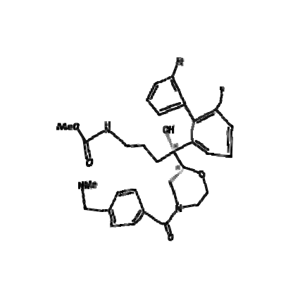 CCc1cccc(-c2c(F)cccc2[C@](O)(CCCNC(=O)OC)[C@H]2CN(C(=O)c3ccc(CNC)cc3)CCO2)c1